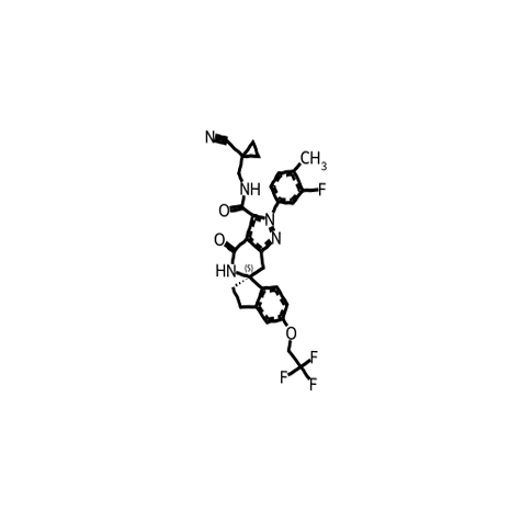 Cc1ccc(-n2nc3c(c2C(=O)NCC2(C#N)CC2)C(=O)N[C@@]2(CCc4cc(OCC(F)(F)F)ccc42)C3)cc1F